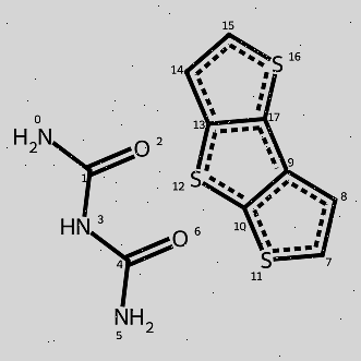 NC(=O)NC(N)=O.c1cc2c(s1)sc1ccsc12